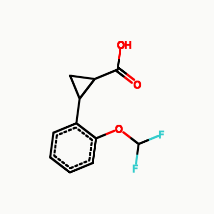 O=C(O)C1CC1c1ccccc1OC(F)F